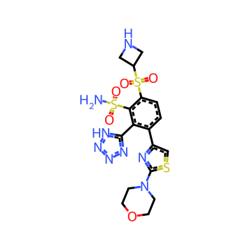 NS(=O)(=O)c1c(S(=O)(=O)C2CNC2)ccc(-c2csc(N3CCOCC3)n2)c1-c1nnn[nH]1